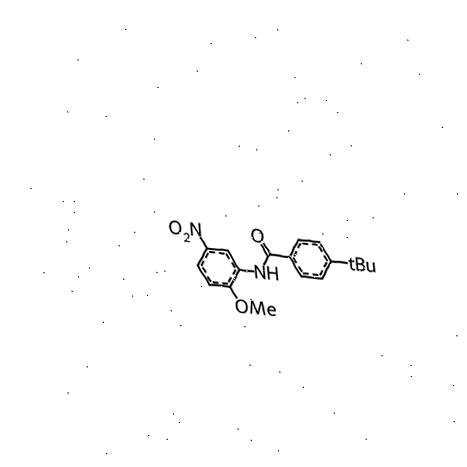 COc1ccc([N+](=O)[O-])cc1NC(=O)c1ccc(C(C)(C)C)cc1